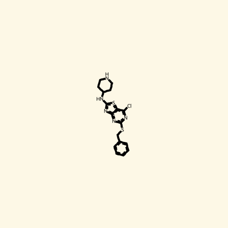 Clc1nc(SCc2ccccc2)nc2nc(NC3CCNCC3)sc12